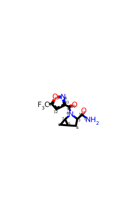 NC(=O)C1CC2CC2N1C(=O)c1cc(C(F)(F)F)on1